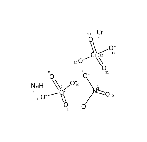 O=[N+]([O-])[O-].[Cr].[NaH].[O]=[Cr](=[O])([O-])[O-].[O]=[Cr](=[O])([O-])[O-]